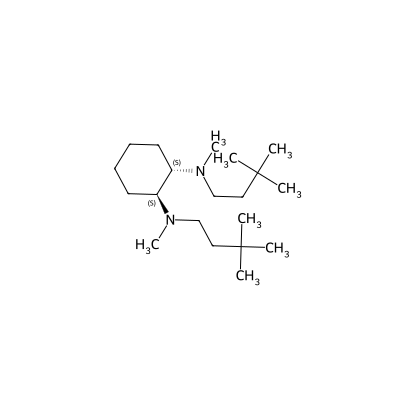 CN(CCC(C)(C)C)[C@H]1CCCC[C@@H]1N(C)CCC(C)(C)C